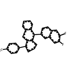 Fc1cc2ccc(-c3c4ccccc4cc4c(-c5ccc(C(F)(F)F)cc5)cccc34)cc2cc1F